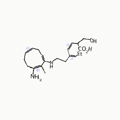 CC/C=C(\C=C/C(CO)C(=O)O)CCNC1=CC/C=C\CC/C(N)=C\1C